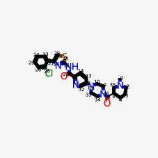 CN1CCC[C@@H](C(=O)N2CCN(c3ccc(C(=O)Nc4nc(-c5ccccc5Cl)cs4)nc3)CC2)C1